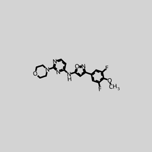 COc1c(F)cc(-c2cc(Nc3ccnc(N4CCOCC4)n3)on2)cc1F